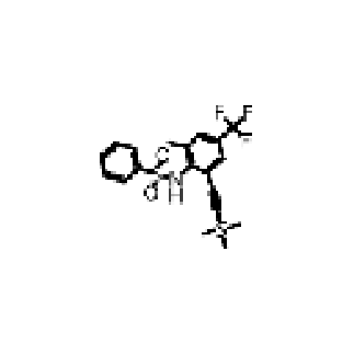 Cc1cc(C(F)(F)F)cc(C#CS(C)(C)C)c1NS(=O)(=O)c1ccccc1